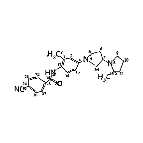 Cc1cc(N2CCC(N3CCCC3C)C2)ccc1NC(=O)c1ccc(C#N)cc1